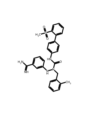 Cc1ccccc1CN(Nc1cccc(C(=N)N)c1)C(=O)Nc1ccc(-c2ccccc2S(C)(=O)=O)cc1